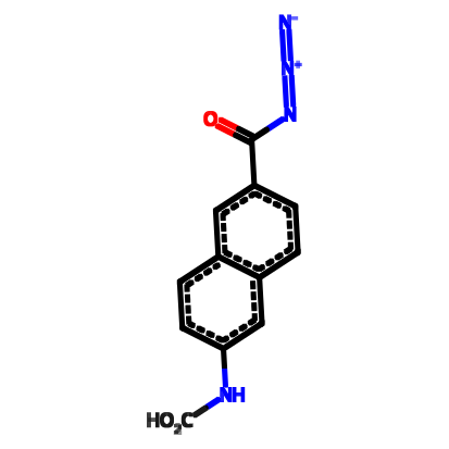 [N-]=[N+]=NC(=O)c1ccc2cc(NC(=O)O)ccc2c1